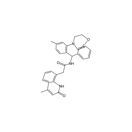 Cc1ccc(C(NC(=O)Cc2cccc3c(C)cc(=O)[nH]c23)c2ccccc2)c(N2CCOCC2)c1